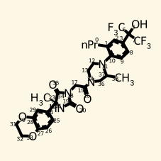 CCCc1cc(C(O)(C(F)(F)F)C(F)(F)F)ccc1N1CCN(C(=O)CN2C(=O)N[C@](C)(c3ccc4c(c3)OCCO4)C2=O)CC1C